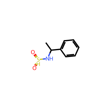 CC(N[SH](=O)=O)c1ccccc1